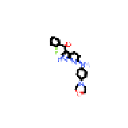 O=C(c1ccccc1F)c1c[nH]c2nc(Nc3ccc(N4CCOCC4)cc3)ccc12